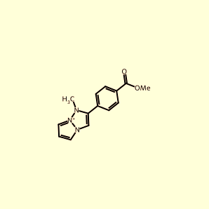 COC(=O)c1ccc(-c2cn3ccc[n+]3n2C)cc1